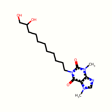 Cn1cnc2c1c(=O)n(CCCCCCCCCC(O)CO)c(=O)n2C